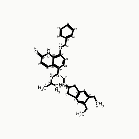 CCc1cc2c(cc1CC)CC(NC[C@H](OC(C)C)c1ccc(OCc3ccccc3)c3[nH]c(=O)ccc13)C2